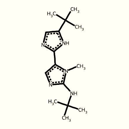 Cn1c(-c2ncc(C(C)(C)C)[nH]2)cnc1NC(C)(C)C